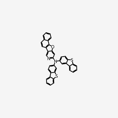 c1ccc2c(c1)ccc1c3cnc(N(c4ccc5c(c4)sc4ccccc45)c4ccc5sc6ccccc6c5c4)cc3oc21